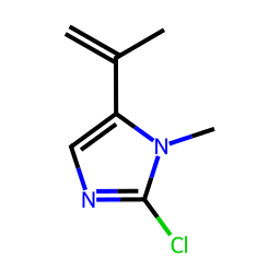 C=C(C)c1cnc(Cl)n1C